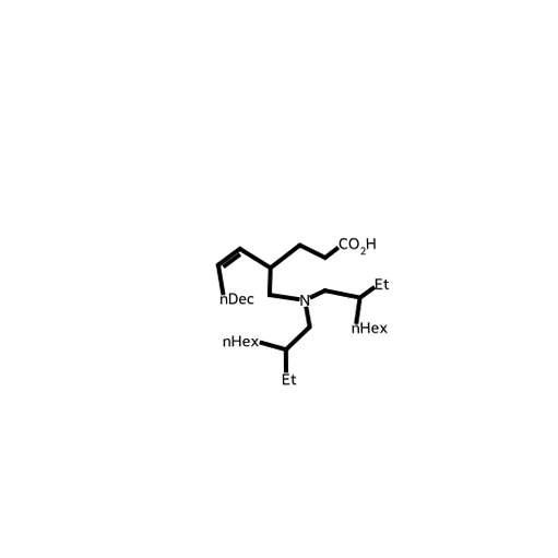 CCCCCCCCCC/C=C\C(CCC(=O)O)CN(CC(CC)CCCCCC)CC(CC)CCCCCC